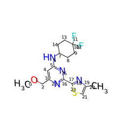 COCc1cc(NC2CCC(F)(F)CC2)nc(-c2nc(C)cs2)n1